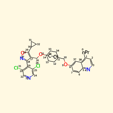 CCCc1ccnc2ccc(OCC34CCC(OCc5c(-c6c(Cl)cncc6Cl)noc5C5CC5)(CC3)CC4)cc12